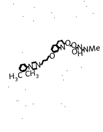 CNCNC(=O)OCOC1=Nc2cc(OCCCCN3CCN(c4cccc(C)c4C)CC3)ccc2CC1